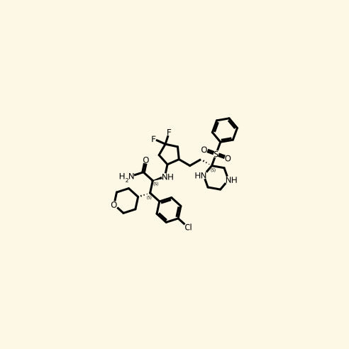 NC(=O)[C@@H](NC1CC(F)(F)CC1CC[C@]1(S(=O)(=O)c2ccccc2)CNCCN1)[C@H](c1ccc(Cl)cc1)C1CCOCC1